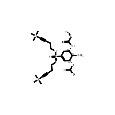 CCC(CC)O[C@@H]1C=C(P(=O)(OCCC#C[Si](C)(C)C)OCCC#C[Si](C)(C)C)C[C@H](NC(=O)OC(C)(C)C)[C@H]1NC(C)=O